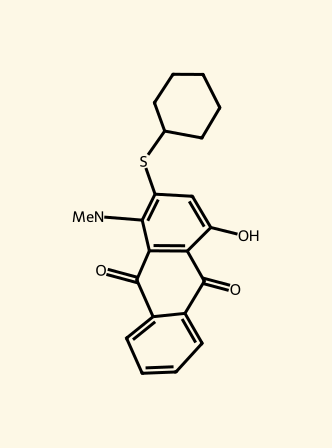 CNc1c(SC2CCCCC2)cc(O)c2c1C(=O)c1ccccc1C2=O